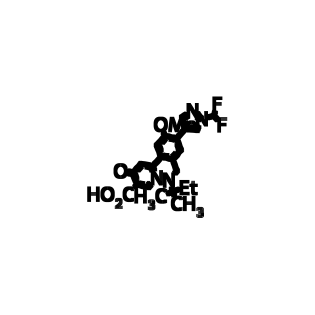 CCC(C)(C)N1Cc2cc(-c3cnn(C(F)F)c3)c(OC)cc2-c2cc(=O)c(C(=O)O)cn21